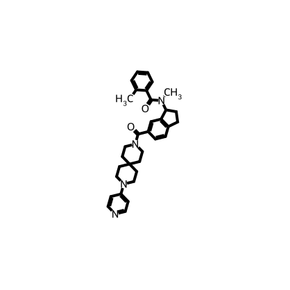 Cc1ccccc1C(=O)N(C)C1CCc2ccc(C(=O)N3CCC4(CC3)CCN(c3ccncc3)CC4)cc21